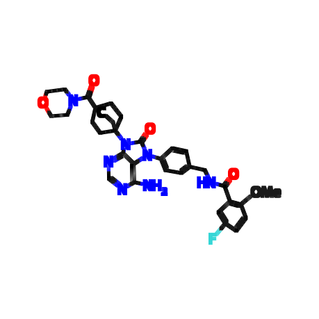 COc1ccc(F)cc1C(=O)NCc1ccc(-n2c(=O)n(C34CCC(C(=O)N5CCOCC5)(CC3)CC4)c3ncnc(N)c32)cc1